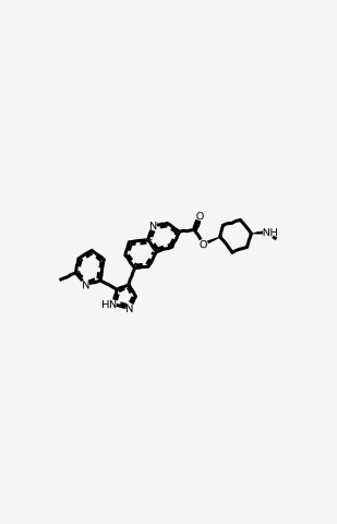 CN[C@H]1CC[C@@H](OC(=O)c2cnc3ccc(-c4cn[nH]c4-c4cccc(C)n4)cc3c2)CC1